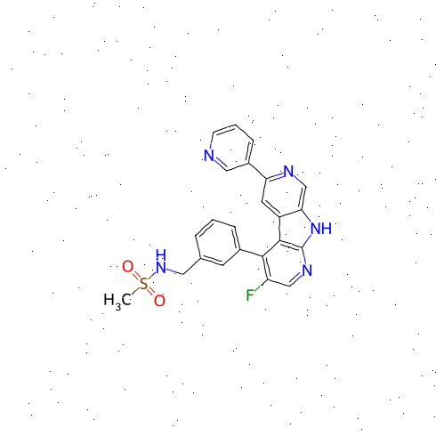 CS(=O)(=O)NCc1cccc(-c2c(F)cnc3[nH]c4cnc(-c5cccnc5)cc4c23)c1